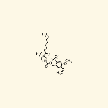 CCCCCCSC(=O)C1(C)CCN(C(=O)OCc2cc(OC)c(OC)cc2[N+](=O)[O-])C1